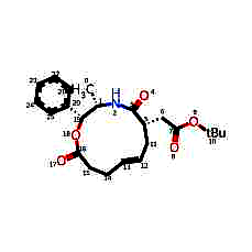 C[C@@H]1NC(=O)[C@H](CC(=O)OC(C)(C)C)C/C=C/CCC(=O)O[C@@H]1c1ccccc1